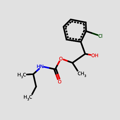 CCC(C)NC(=O)OC(C)C(O)c1ccccc1Cl